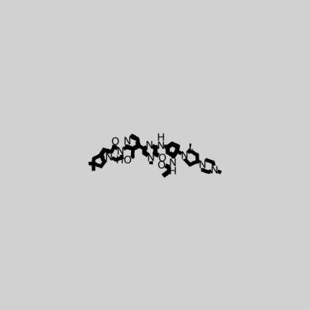 C=CC(=O)Nc1cc(Nc2nc(-c3ccnc(N4CCn5c(cc6c5CC(C)(C)C6)C4=O)c3CO)cn(C)c2=O)ccc1N1CCC(N2CCN(C)CC2)C[C@@H]1C